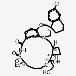 CC[C@@H]1CCCC[C@@](O)(CO)[C@@H]2CC[C@H]2CN2C[C@@]3(CCCc4cc(Cl)ccc43)COc3ccc(cc32)C(=O)NS1(=O)=O